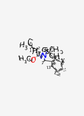 CCCC(OC)N(Cc1ccccc1)[Si](C)(C)C